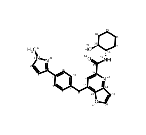 Cn1ccc(-c2ccc(Cc3cc(C(=O)N[C@H]4CCCC[C@@H]4O)nc4ccoc34)cc2)n1